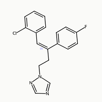 Fc1ccc(/C(=C\c2ccccc2Cl)CCn2cncn2)cc1